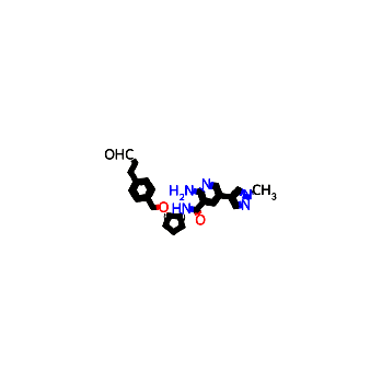 Cn1cc(-c2cnc(N)c(C(=O)N[C@H]3CCC[C@@H]3OCc3ccc(CCC=O)cc3)c2)cn1